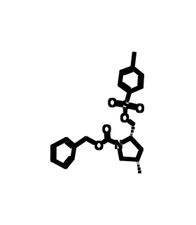 Cc1ccc(S(=O)(=O)OC[C@@H]2C[C@H](C)CN2C(=O)OCc2ccccc2)cc1